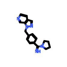 N=C(c1ccc(Cn2ncc3ccncc32)cc1)N1CCCC1